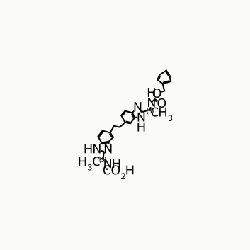 C[C@H](NC(=O)O)c1nc2cc(CCc3ccc4nc([C@H](C)NC(=O)OCc5ccccc5)[nH]c4c3)ccc2[nH]1